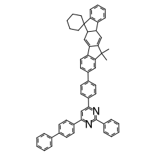 CC1(C)C2=CC3c4ccccc4C4(CCCCC4)C3C=C2c2ccc(-c3ccc(-c4cc(-c5ccc(-c6ccccc6)cc5)nc(-c5ccccc5)n4)cc3)cc21